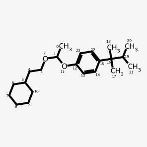 CC(OCCC1CCCCC1)Oc1ccc(C(C)(C)C(C)C)cc1